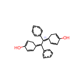 OC1=CCC(=C(/C(=C2\C=CC(O)=CC2)c2ccccc2)c2ccccc2)C=C1